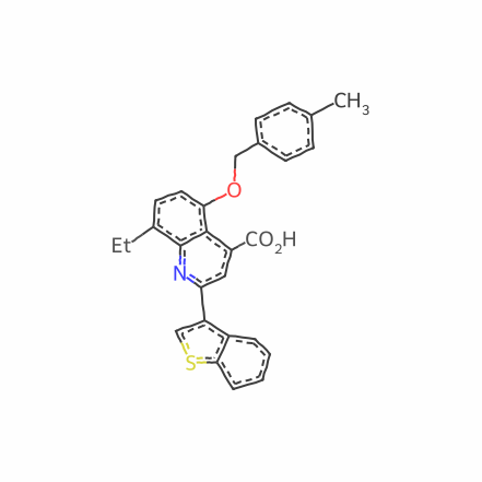 CCc1ccc(OCc2ccc(C)cc2)c2c(C(=O)O)cc(-c3csc4ccccc34)nc12